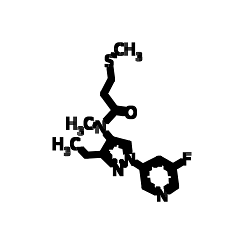 CCc1nn(-c2cncc(F)c2)cc1N(C)C(=O)CCSC